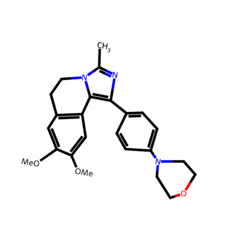 COc1cc2c(cc1OC)-c1c(-c3ccc(N4CCOCC4)cc3)nc(C)n1CC2